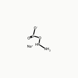 NNOS(=O)[O-].[Na+]